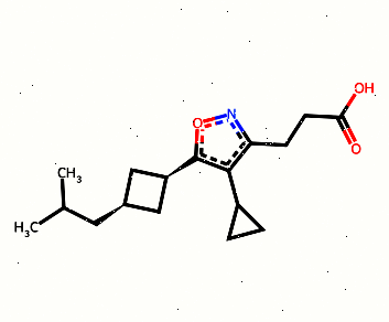 CC(C)C[C@H]1C[C@@H](c2onc(CCC(=O)O)c2C2CC2)C1